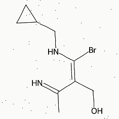 CC(=N)/C(CO)=C(/Br)NCC1CC1